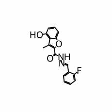 Cc1c(C(=O)NN=Cc2ccccc2F)oc2cccc(O)c12